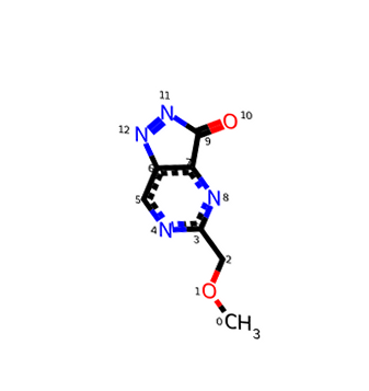 COCc1ncc2c(n1)C(=O)N=N2